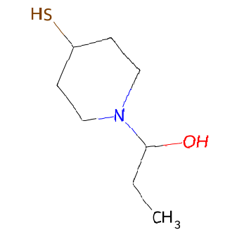 CCC(O)N1CCC(S)CC1